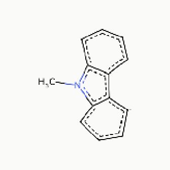 Cn1c2ccc[c]c2c2ccccc21